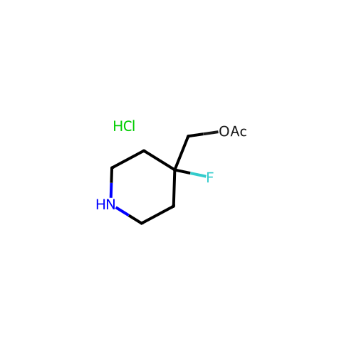 CC(=O)OCC1(F)CCNCC1.Cl